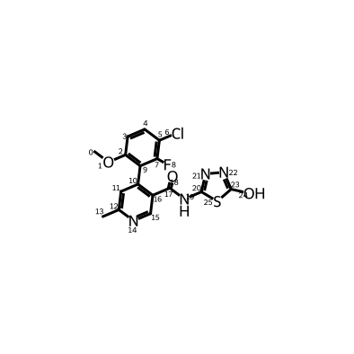 COc1ccc(Cl)c(F)c1-c1cc(C)ncc1C(=O)Nc1nnc(O)s1